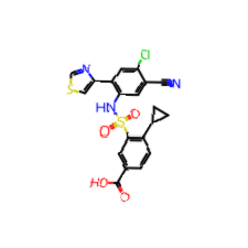 N#Cc1cc(NS(=O)(=O)c2cc(C(=O)O)ccc2C2CC2)c(-c2cscn2)cc1Cl